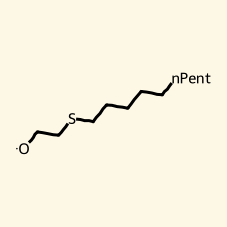 CCCCCCCCCCSCC[O]